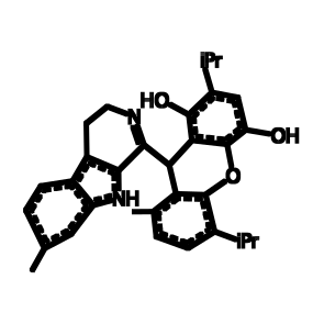 Cc1ccc2c3c([nH]c2c1)C(C1c2c(C)ccc(C(C)C)c2Oc2c(O)cc(C(C)C)c(O)c21)=NCC3